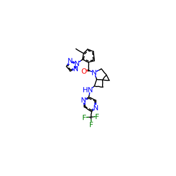 Cc1cccc(C(=O)N2CC3CC34CC(Nc3cnc(C(F)(F)F)cn3)C24)c1-n1nccn1